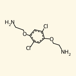 NCCOc1cc(Cl)c(OCCN)cc1Cl